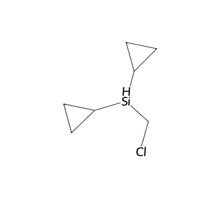 ClC[SiH](C1CC1)C1CC1